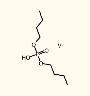 CCCCOP(=O)(O)OCCCC.[V]